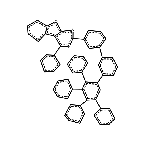 c1ccc(-c2cc(-c3cccc(-c4cccc(-c5nc(-c6ccccc6)c6c(n5)oc5ccccc56)c4)c3)c(-c3ccccc3)c(-c3ccccc3)c2-c2ccccc2)cc1